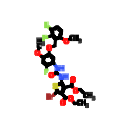 CCOC(=O)c1c(Br)sc(NC(=O)Nc2cc(OCc3c(OC)ccc(F)c3F)c(OC)cc2F)c1C(=O)OCC